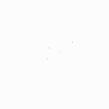 CC(C)(C)OC(=O)N1CCC([C@@H](CS(=O)(=O)N2CCC(c3ccc(Cl)cc3Cl)CC2)C(=O)NO)CC1